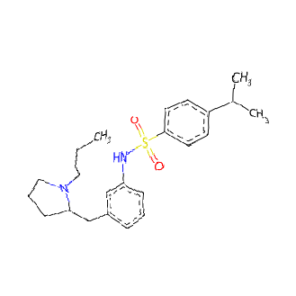 CCCN1CCCC1Cc1cccc(NS(=O)(=O)c2ccc(C(C)C)cc2)c1